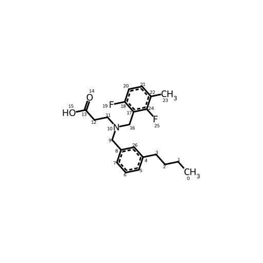 CCCCc1cccc(CN(CCC(=O)O)Cc2c(F)ccc(C)c2F)c1